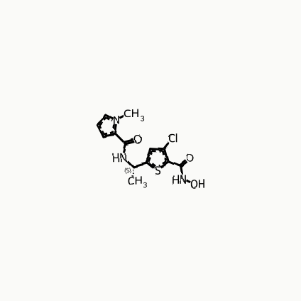 C[C@H](NC(=O)c1cccn1C)c1cc(Cl)c(C(=O)NO)s1